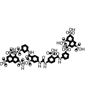 O=C(Nc1ccc(C(=O)Nc2cccc(S(=O)(=O)Nc3cc(S(=O)(=O)O)cc4cc(S(=O)(=O)O)cc(S(=O)(=O)O)c34)c2)c(S(=O)(=O)O)c1)Nc1ccc(C(=O)Nc2cccc(S(=O)(=O)Nc3cc(S(=O)(=O)O)cc4cc(S(=O)(=O)O)cc(S(=O)(=O)O)c34)c2)c(S(=O)(=O)O)c1